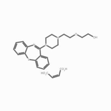 O=C(O)/C=C\C(=O)O.OCCOCCN1CCN(C2=Nc3ccccc3Sc3ccccc32)CC1